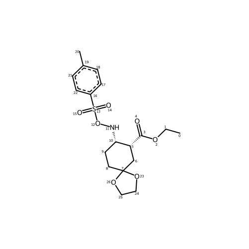 CCOC(=O)[C@@H]1CC2(CC[C@@H]1NOS(=O)(=O)c1ccc(C)cc1)OCCO2